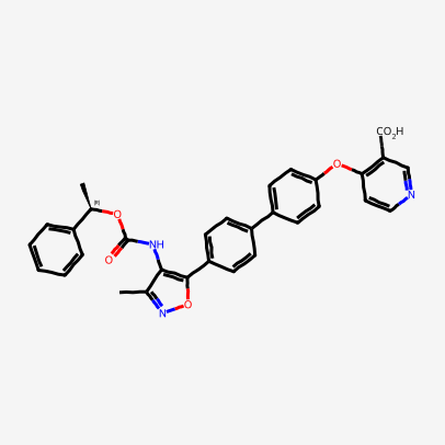 Cc1noc(-c2ccc(-c3ccc(Oc4ccncc4C(=O)O)cc3)cc2)c1NC(=O)O[C@H](C)c1ccccc1